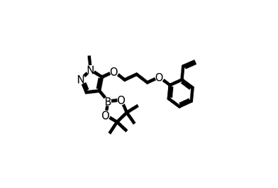 C=Cc1ccccc1OCCCOc1c(B2OC(C)(C)C(C)(C)O2)cnn1C